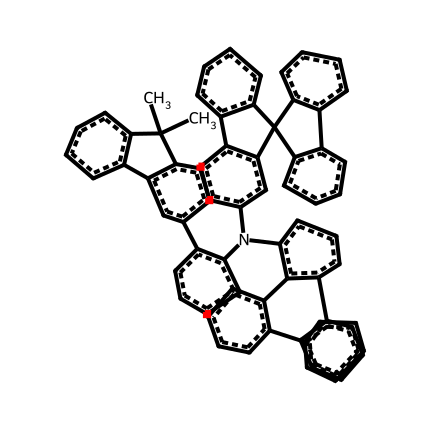 CC1(C)c2ccccc2-c2cc(-c3ccccc3N(c3ccc4c(c3)C3(c5ccccc5-c5ccccc53)c3ccccc3-4)c3cccc(-c4ccccc4)c3-c3ccccc3-c3ccccc3)ccc21